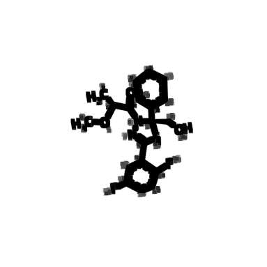 CO[C@@H](C)C(=O)N1N=C(c2cc(F)ccc2F)S[C@@]1(CO)c1ccccc1